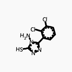 Nn1c(S)nnc1-c1cccc(Cl)c1Cl